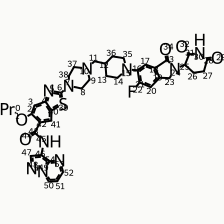 CC(C)Oc1cc2nc(N3CCN(CC4CCN(c5cc6c(cc5F)CN(C5CCC(=O)NC5=O)C6=O)CC4)CC3)sc2cc1C(=O)Nc1cnn2cccnc12